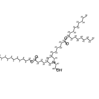 CCCCCCCCCCCOC(=O)CCCC1CC(CCCCCC(=O)OC(CCCCCCCC)CCCCCCCC)CN(CCO)C1